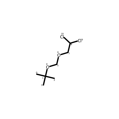 CC(C)(C)OCOCC(Cl)Cl